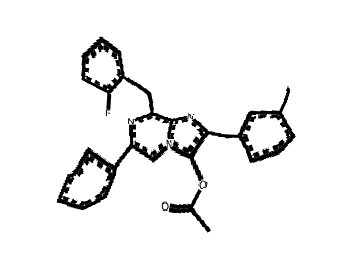 CC(=O)Oc1c(-c2cccc(C)c2)nc2c(Cc3ccccc3F)nc(-c3ccccc3)cn12